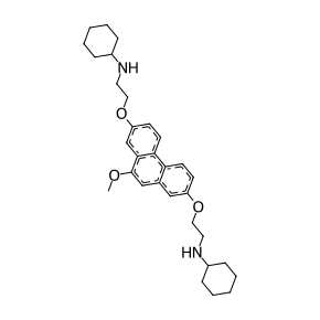 COc1cc2cc(OCCNC3CCCCC3)ccc2c2ccc(OCCNC3CCCCC3)cc12